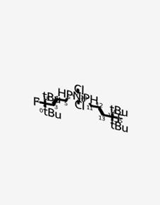 CC(C)(C)C(F)(C=CC[PH][Ni]([Cl])([Cl])[PH]CC=CC(F)(C(C)(C)C)C(C)(C)C)C(C)(C)C